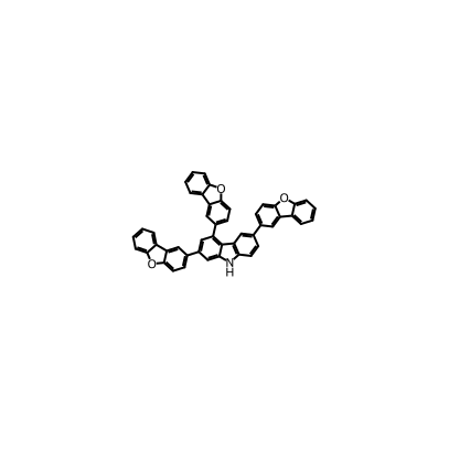 c1ccc2c(c1)oc1ccc(-c3cc(-c4ccc5oc6ccccc6c5c4)c4c(c3)[nH]c3ccc(-c5ccc6oc7ccccc7c6c5)cc34)cc12